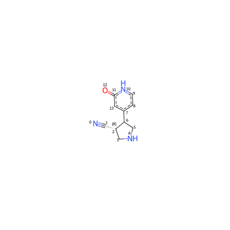 N#C[C@H]1CNCC1c1cc[nH]c(=O)c1